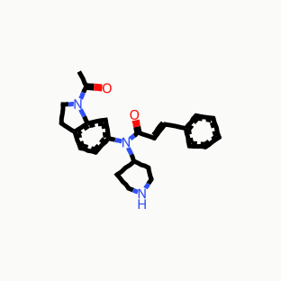 CC(=O)N1CCc2ccc(N(C(=O)C=Cc3ccccc3)C3CCNCC3)cc21